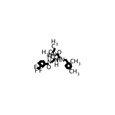 CCC(C)NC(=O)[C@H](CNCc1ccc(C)cc1C)NC(=O)CNC(=O)c1cccc(C(F)(F)F)c1